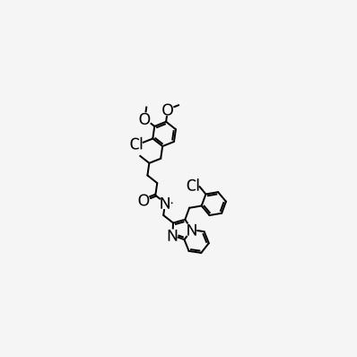 COc1ccc(CC(C)CCC(=O)[N]Cc2nc3ccccn3c2Cc2ccccc2Cl)c(Cl)c1OC